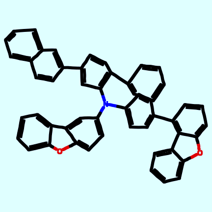 c1ccc(-c2ccc(-c3ccc4ccccc4c3)cc2N(c2ccc(-c3cccc4oc5ccccc5c34)cc2)c2ccc3oc4ccccc4c3c2)cc1